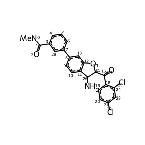 CNC(=O)c1cccc(-c2ccc3c(c2)OC(C(=O)c2ccc(Cl)cc2Cl)C3N)c1